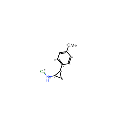 COc1ccc(C2CC2NCl)cc1